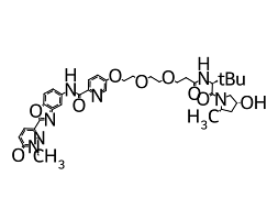 C[C@@H]1C[C@@H](O)CN1C(=O)[C@@H](NC(=O)CCOCCOCCOc1ccc(C(=O)Nc2ccc3oc(-c4ccc(=O)n(C)n4)nc3c2)nc1)C(C)(C)C